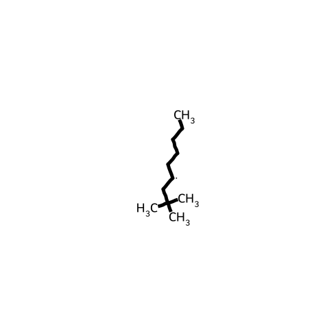 CCCCC[CH]CC(C)(C)C